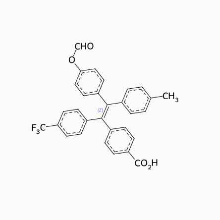 Cc1ccc(/C(=C(\c2ccc(C(=O)O)cc2)c2ccc(C(F)(F)F)cc2)c2ccc(OC=O)cc2)cc1